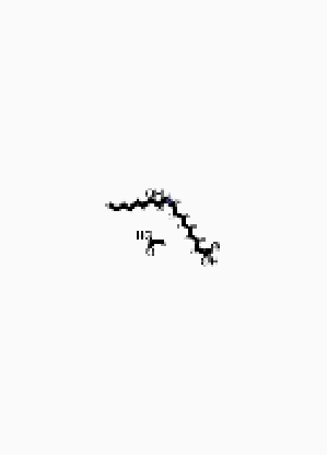 CC(=O)O.CCCCCCC(O)C/C=C\CCCCCCCC(=O)O